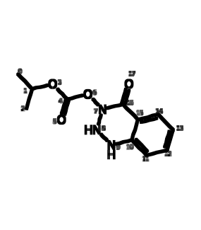 CC(C)OC(=O)ON1NNc2ccccc2C1=O